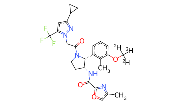 [2H]C([2H])([2H])Oc1cccc([C@@H]2[C@H](NC(=O)c3nc(C)co3)CCN2C(=O)Cn2nc(C3CC3)cc2C(F)(F)F)c1C